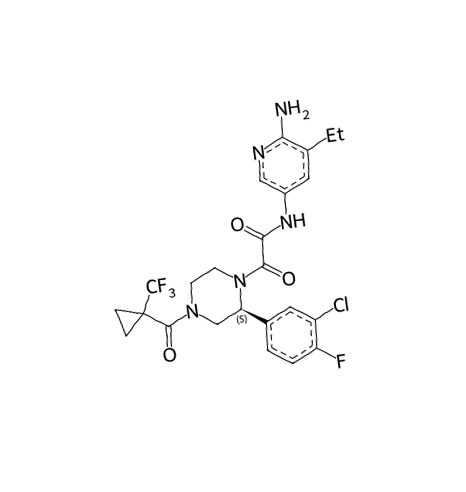 CCc1cc(NC(=O)C(=O)N2CCN(C(=O)C3(C(F)(F)F)CC3)C[C@@H]2c2ccc(F)c(Cl)c2)cnc1N